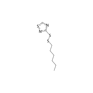 CCCCCCSSc1ncsn1